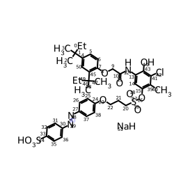 CCC(C)(C)c1ccc(OCC(=O)Nc2cc(OS(=O)(=O)CCCOc3ccc(/N=N/c4ccc(S(=O)(=O)O)cc4)cc3)c(C)c(Cl)c2O)c(C(C)(C)CC)c1.[NaH]